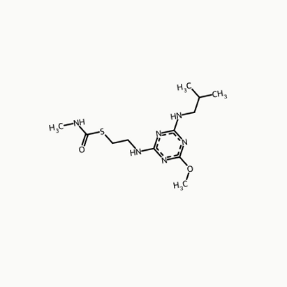 CNC(=O)SCCNc1nc(NCC(C)C)nc(OC)n1